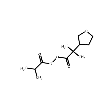 CC(C)C(=O)OOC(=O)C(C)(C)C1CCOC1